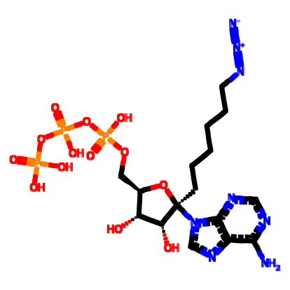 [N-]=[N+]=NCCCCCC[C@@]1(n2cnc3c(N)ncnc32)O[C@H](COP(=O)(O)OP(=O)(O)OP(=O)(O)O)[C@@H](O)[C@H]1O